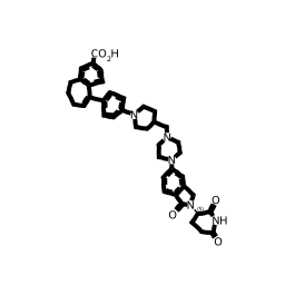 O=C1CC[C@H](N2Cc3cc(N4CCN(CC5CCN(c6ccc(C7=CCCCc8cc(C(=O)O)ccc87)cc6)CC5)CC4)ccc3C2=O)C(=O)N1